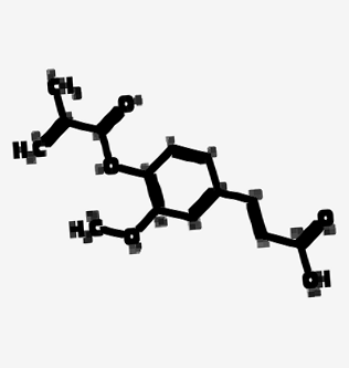 C=C(C)C(=O)Oc1ccc(/C=C/C(=O)O)cc1OC